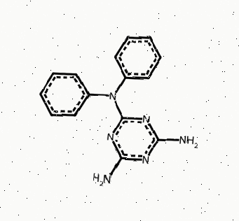 Nc1nc(N)nc(N(c2ccccc2)c2ccccc2)n1